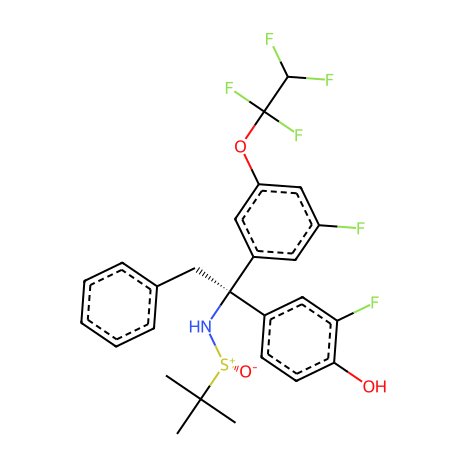 CC(C)(C)[S@@+]([O-])N[C@@](Cc1ccccc1)(c1cc(F)cc(OC(F)(F)C(F)F)c1)c1ccc(O)c(F)c1